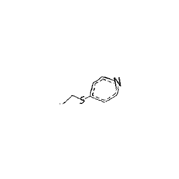 [CH2]CSc1ccncc1